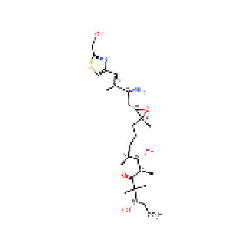 C/C(=C\c1csc(CO)n1)[C@@H](N)C[C@@H]1O[C@]1(C)CCC[C@H](C)[C@H](O)[C@@H](C)C(=O)C(C)(C)[C@@H](O)CC(=O)O